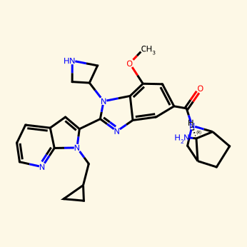 COc1cc(C(=O)N2CC3CCC2[C@@H]3N)cc2nc(-c3cc4cccnc4n3CC3CC3)n(C3CNC3)c12